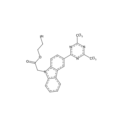 CC(C)CCOC(=O)Cn1c2ccccc2c2cc(-c3nc(C(Cl)(Cl)Cl)nc(C(Cl)(Cl)Cl)n3)ccc21